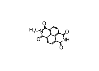 CN1C(=O)c2ccc3c4c(ccc(c24)C1=O)C(=O)NC3=O